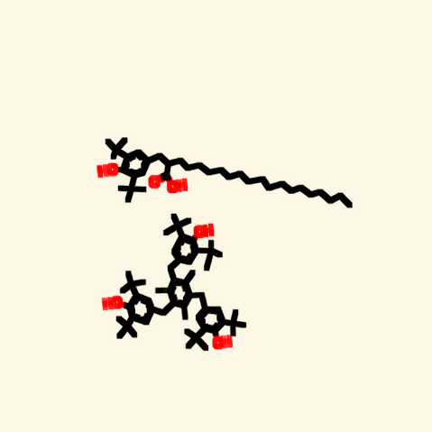 CCCCCCCCCCCCCCCCCCC(Cc1cc(C(C)(C)C)c(O)c(C(C)(C)C)c1)C(=O)O.Cc1c(Cc2cc(C(C)(C)C)c(O)c(C(C)(C)C)c2)c(C)c(Cc2cc(C(C)(C)C)c(O)c(C(C)(C)C)c2)c(C)c1Cc1cc(C(C)(C)C)c(O)c(C(C)(C)C)c1